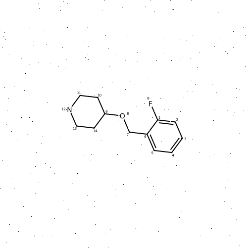 Fc1ccccc1COC1CC[N]CC1